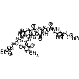 CCCOCCn1cc(CNC(=O)OCC(COC(=O)NCc2cn(CCOCCOC(=O)CC)nn2)NC(=O)OCCOCCN2C(=O)CC(C)C2=O)nn1